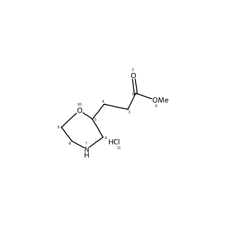 COC(=O)CCC1CNCCO1.Cl